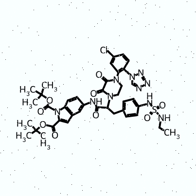 CCNS(=O)(=O)Nc1ccc(CC(C(=O)Nc2ccc3c(c2)cc(C(=O)OC(C)(C)C)n3C(=O)OC(C)(C)C)N2CCN(c3cc(Cl)ccc3-n3cnnn3)C(=O)C2=O)cc1